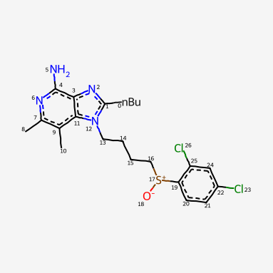 CCCCc1nc2c(N)nc(C)c(C)c2n1CCCC[S+]([O-])c1ccc(Cl)cc1Cl